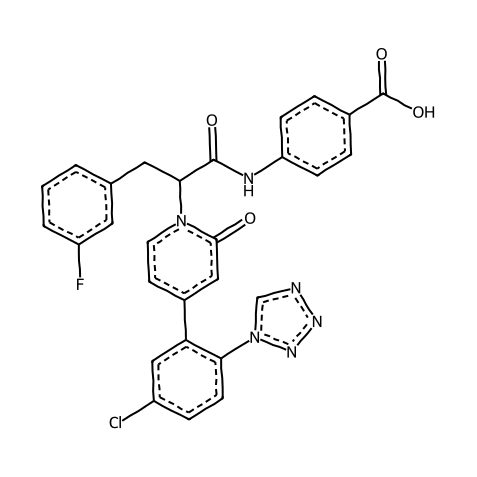 O=C(O)c1ccc(NC(=O)C(Cc2cccc(F)c2)n2ccc(-c3cc(Cl)ccc3-n3cnnn3)cc2=O)cc1